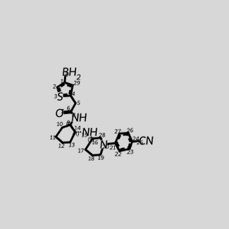 Bc1csc(CC(=O)N[C@@H]2CCCC[C@H]2N[C@H]2CCCN(c3ccc(C#N)cc3)C2)c1